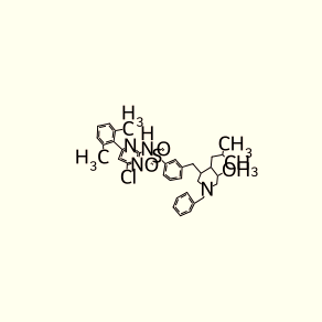 Cc1cccc(C)c1-c1cc(Cl)nc(NS(=O)(=O)c2cccc(CC3CN(Cc4ccccc4)CC(O)C3CC(C)C)c2)n1